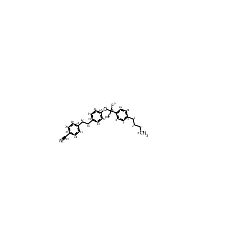 CCCCc1ccc(C(F)(F)Oc2ccc(CCc3ccc(C#N)cc3)cc2)cc1